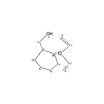 C=COC=C.OCC1CCCCC1